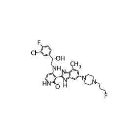 Cc1cc(N2CCN(CCCF)CC2)cc2[nH]c(-c3c(NC[C@@H](O)c4ccc(F)c(Cl)c4)cc[nH]c3=O)nc12